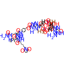 CC(C)[C@H](NC(=O)CCCCCN1C(=O)C=CC1=O)C(=O)N[C@@H](CCCNC(N)=O)C(=O)Nc1ccc(COC(=O)Nc2ncnc3c2ncn3[C@@H]2O[C@@H]3COP(=O)(S)O[C@@H]4C(O)[C@H](n5cnc6c(=O)[nH]c(N)nc65)O[C@@H]4COP(=O)(S)OC2C3O)cc1